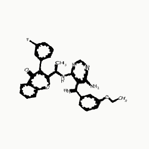 CCOc1cccc(C(=N)c2c(N)ncnc2NC(C)c2oc3ccccc3c(=O)c2-c2cccc(F)c2)c1